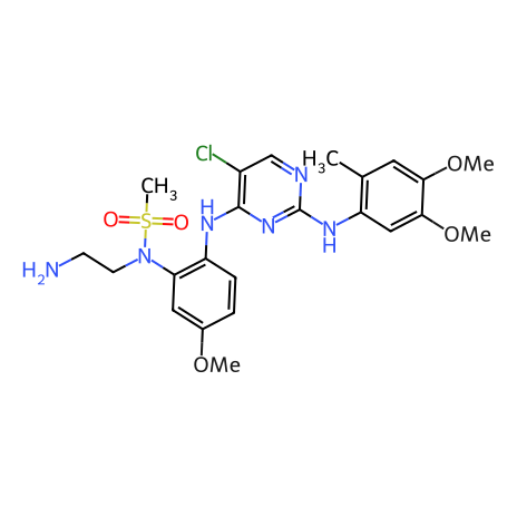 COc1ccc(Nc2nc(Nc3cc(OC)c(OC)cc3C)ncc2Cl)c(N(CCN)S(C)(=O)=O)c1